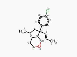 [CH2]C=CC(CCC)(c1ccc(Cl)cc1)C1CCCOC1